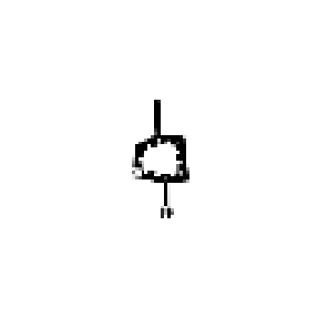 Cc1ccc([N])nc1